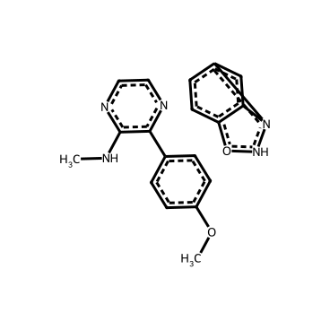 CNc1nccnc1-c1ccc(OC)cc1.c1cc2cc3c1o[nH]n2-3